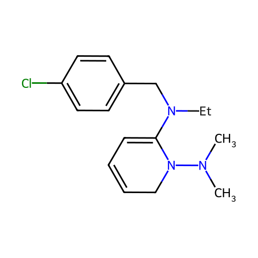 CCN(Cc1ccc(Cl)cc1)C1=CC=CCN1N(C)C